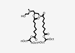 CCCCCCCCC(CCCCCCCC)OC(=O)CCCCCCC(=O)OCC(CN(C)CCO)OC(=O)CCCCCCC(=O)OC(CCCCCCCC)CCCCCCCC